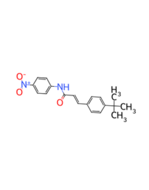 CC(C)(C)c1ccc(/C=C/C(=O)Nc2ccc([N+](=O)[O-])cc2)cc1